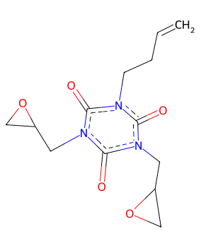 C=CCCn1c(=O)n(CC2CO2)c(=O)n(CC2CO2)c1=O